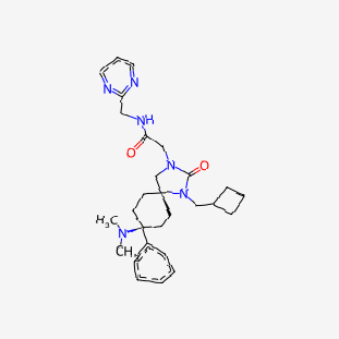 CN(C)[C@]1(c2ccccc2)CC[C@@]2(CC1)CN(CC(=O)NCc1ncccn1)C(=O)N2CC1CCC1